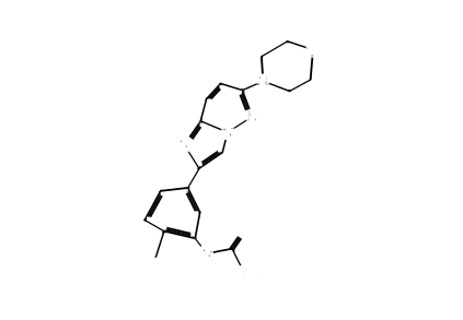 Cc1ccc(-c2cn3nc(N4CCOCC4)ccc3n2)cc1NC(=O)C(C)(C)C